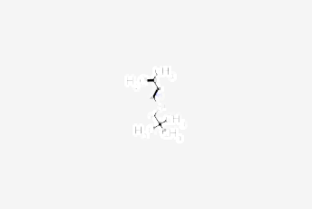 C=C(C)/C=C/SCC(C)(C)C